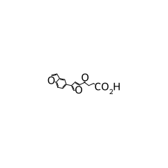 O=C(O)CCC(=O)c1cc(-c2ccc3occc3c2)co1